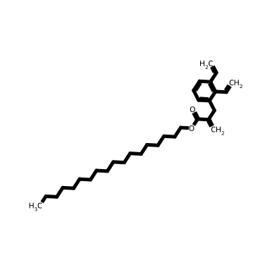 C=Cc1cccc(CC(=C)C(=O)OCCCCCCCCCCCCCCCCCC)c1C=C